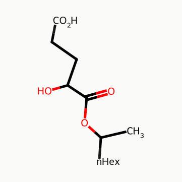 CCCCCCC(C)OC(=O)C(O)CCC(=O)O